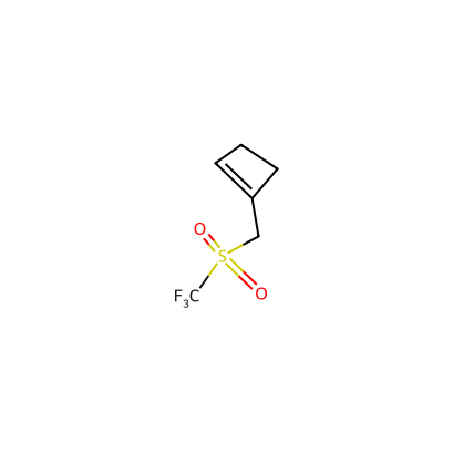 O=S(=O)(CC1=CCC1)C(F)(F)F